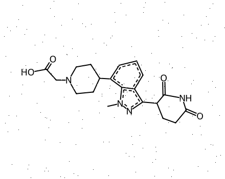 Cn1nc(C2CCC(=O)NC2=O)c2cccc(C3CCN(CC(=O)O)CC3)c21